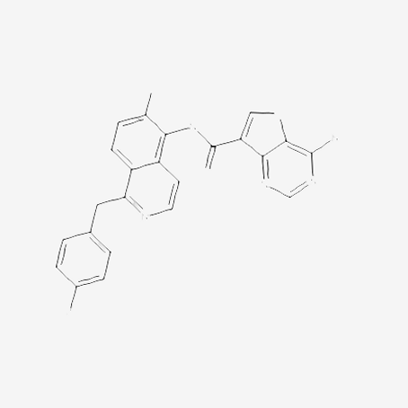 Cc1ccc2c(Cc3ccc(C(F)(F)F)cc3)nccc2c1NC(=O)c1csc2c(N)ncnc12